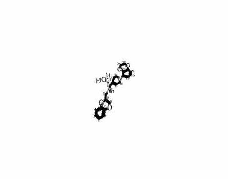 Cl.Cl.c1ccc2c(c1)OCC(CNCC1CCN(c3cccc4c3OCCO4)CC1)O2